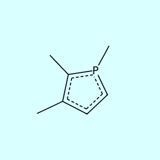 Cc1ccp(C)c1C